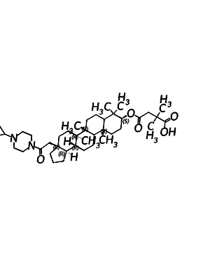 CC(C)(CC(=O)O[C@H]1CC[C@@]2(C)C(CC[C@]3(C)C2CC[C@@H]2[C@H]4CCC[C@]4(CC(=O)N4CCN(C5CC5)CC4)CC[C@]23C)C1(C)C)C(=O)O